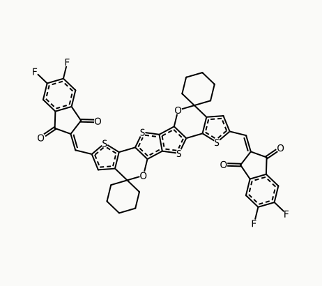 O=C1C(=Cc2cc3c(s2)-c2sc4c5c(sc4c2OC32CCCCC2)-c2sc(C=C3C(=O)c4cc(F)c(F)cc4C3=O)cc2C2(CCCCC2)O5)C(=O)c2cc(F)c(F)cc21